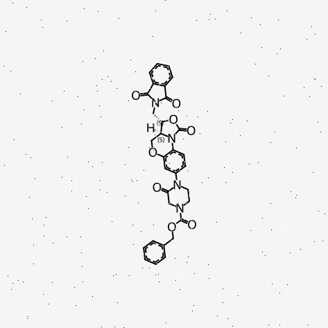 O=C(OCc1ccccc1)N1CCN(c2ccc3c(c2)OC[C@H]2[C@H](CN4C(=O)c5ccccc5C4=O)OC(=O)N32)C(=O)C1